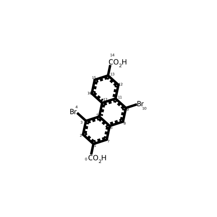 O=C(O)c1cc(Br)c2c(c1)cc(Br)c1cc(C(=O)O)ccc12